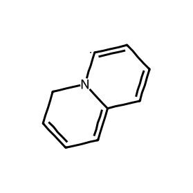 [C]1=CC=CC2=CC=CCN12